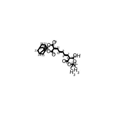 CC1(C)OC(=O)C(C=CC=CC=C2C(=O)OC3(OC2=O)C2CC4CC(C2)CC3C4)C(O)O1